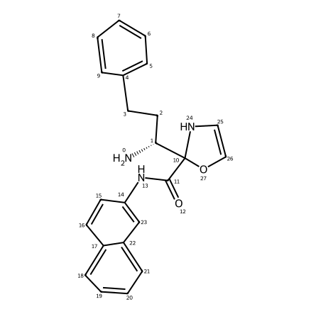 N[C@H](CCc1ccccc1)C1(C(=O)Nc2ccc3ccccc3c2)NC=CO1